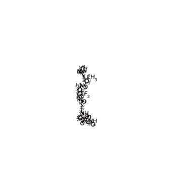 Cc1ccc(C(=O)Nc2ccc(CN3CCN(C(=O)CCCCCNc4cccc5c4C(=O)N(C4CCC(=O)NC4=O)C5=O)CC3)c(C(F)(F)F)c2)cc1C#Cc1cnc2cccnn12